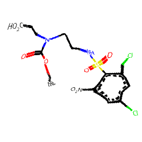 CC(C)(C)OC(=O)N(CCNS(=O)(=O)c1c(Cl)cc(Cl)cc1[N+](=O)[O-])CC(=O)O